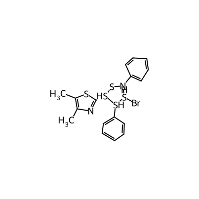 Cc1nc([SH]2SN(c3ccccc3)[SH](Br)[SH]2c2ccccc2)sc1C